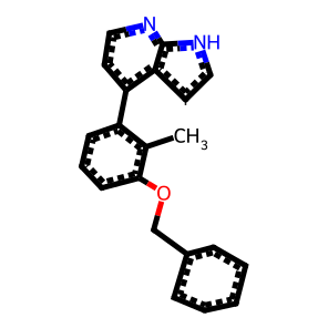 Cc1c(OCc2ccccc2)cccc1-c1ccnc2[nH]c[c]c12